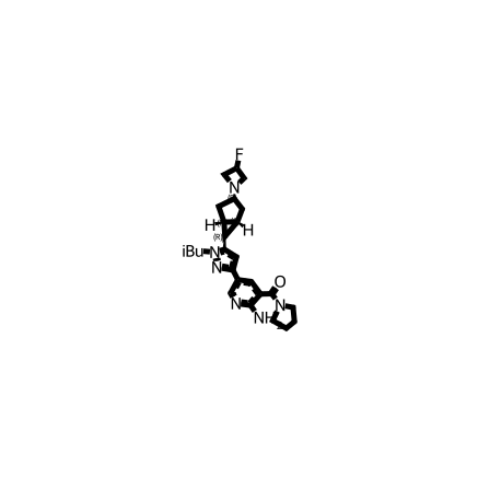 CCC(C)n1nc(-c2cnc(N)c(C(=O)N3CCCC3)c2)cc1[C@H]1[C@@H]2C[C@H](N3CC(F)C3)C[C@@H]21